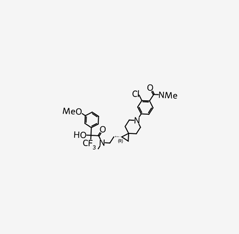 CNC(=O)c1ccc(N2CCC3(CC2)C[C@@H]3CCN(C)C(=O)C(O)(c2cccc(OC)c2)C(F)(F)F)cc1Cl